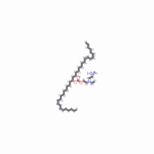 CCCCC/C=C\C/C=C\CCCCCCCCC(CCCCCCCC/C=C\C/C=C\CCCCC)OC(=O)OCCN(CC)CCNC